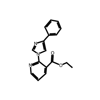 CCOC(=O)c1cccnc1-n1cnc(-c2ccccc2)c1